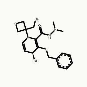 CN(C)NC(=O)C1=C(OCc2ccccc2)[C@@H](O)C=CN1C1(CO)COC1